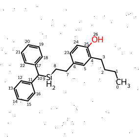 CCCCc1cc(CC[SiH2]C(c2ccccc2)c2ccccc2)ccc1O